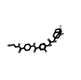 C[C@]12CC3CC(NC(=O)Nc4ccc(C(=O)NC5CCC(C(=O)NCCO)CC5)cc4F)(C1)C[C@@](C)(C3)C2